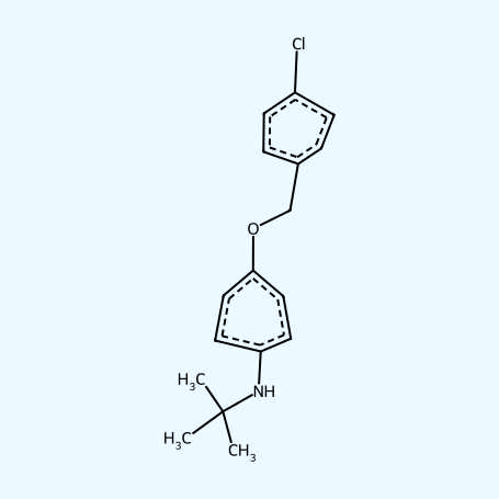 CC(C)(C)Nc1ccc(OCc2ccc(Cl)cc2)cc1